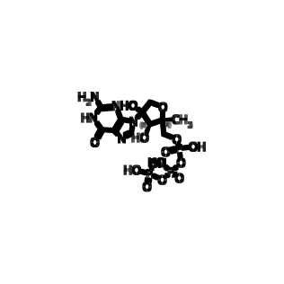 C[C@]1(COP(=O)(O)OP(=O)(O)OP(=O)(O)O)OCC(O)(n2cnc3c(=O)[nH]c(N)nc32)[C@@H]1O